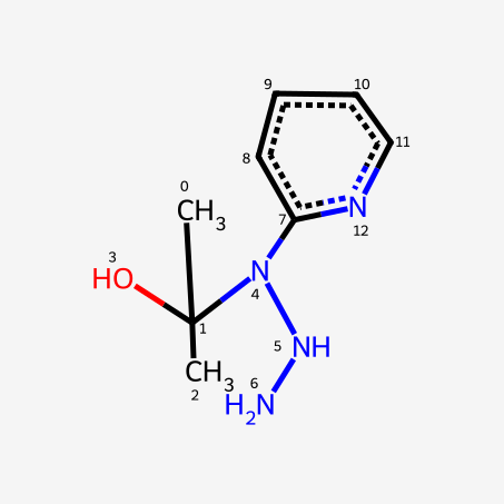 CC(C)(O)N(NN)c1ccccn1